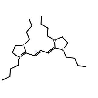 CCCCN1CCN(CCCC)C1=C/C=C/C1=[N+](CCCC)CCN1CCCC